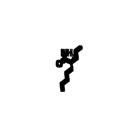 CCCCC[C@@H](CCC)C(N)=O